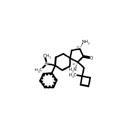 CN(C)C1(c2ccccc2)CCC2(CC1)C[C@H](N)C(=O)[C@@]2(N)CC1(C)CCC1